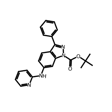 CC(C)(C)OC(=O)n1nc(-c2ccccc2)c2ccc(Nc3ccccn3)cc21